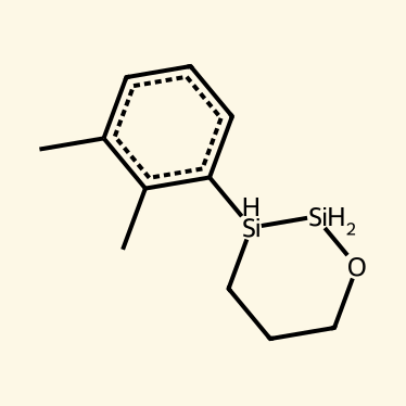 Cc1cccc([SiH]2CCCO[SiH2]2)c1C